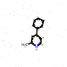 Cc1cc(-c2[c]cccc2)ccn1